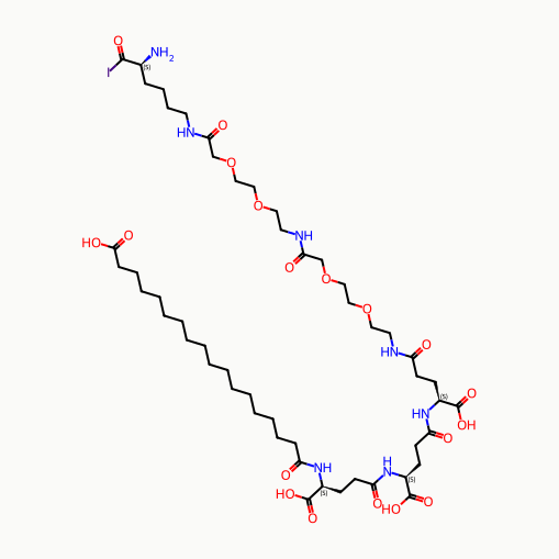 N[C@@H](CCCCNC(=O)COCCOCCNC(=O)COCCOCCNC(=O)CC[C@H](NC(=O)CC[C@H](NC(=O)CC[C@H](NC(=O)CCCCCCCCCCCCCCCCC(=O)O)C(=O)O)C(=O)O)C(=O)O)C(=O)I